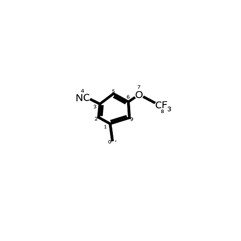 [CH2]c1cc(C#N)cc(OC(F)(F)F)c1